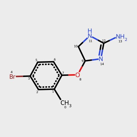 Cc1cc(Br)ccc1OC1CNC(N)=N1